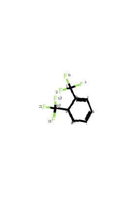 FC(F)(F)C1=C[C]=C[C]C1C(F)(F)F